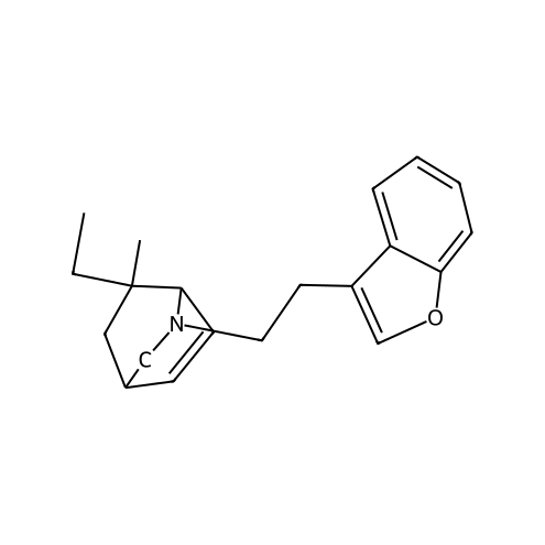 CCC1(C)CC2C=CC1N(CCc1coc3ccccc13)C2